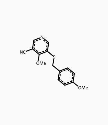 COc1ccc(CSc2cncc(C#N)c2OC)cc1